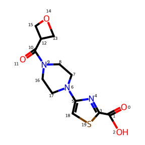 O=C(O)c1nc(N2CCN(C(=O)C3COC3)CC2)cs1